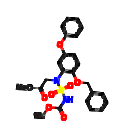 COC(=O)CN(c1cc(Oc2ccccc2)ccc1OCc1ccccc1)S(=O)(=O)NC(=O)OC(C)(C)C